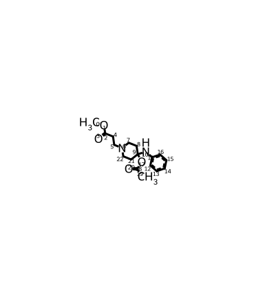 COC(=O)CCN1CCC(Nc2ccccc2)(OC(C)=O)CC1